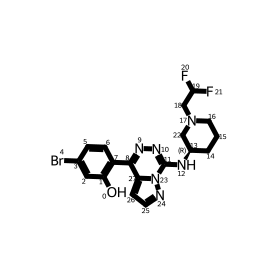 Oc1cc(Br)ccc1-c1nnc(N[C@@H]2CCCN(CC(F)F)C2)n2nccc12